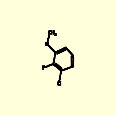 COc1cccc(Cl)c1F